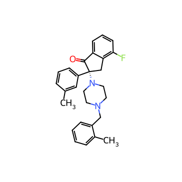 Cc1cccc([C@]2(N3CCN(Cc4ccccc4C)CC3)Cc3c(F)cccc3C2=O)c1